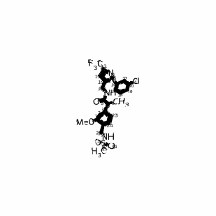 COc1cc(C(C)C(=O)NCc2cc(C(F)(F)F)nn2-c2cccc(Cl)c2)ccc1CNS(C)(=O)=O